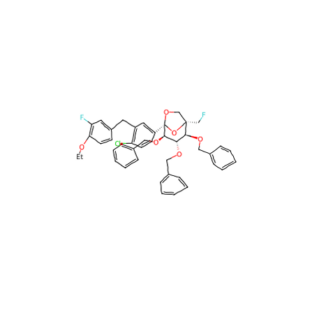 CCOc1ccc(Cc2cc([C@]34OC[C@](CF)(O3)[C@@H](OCc3ccccc3)[C@H](OCc3ccccc3)[C@H]4OCc3ccccc3)ccc2Cl)cc1F